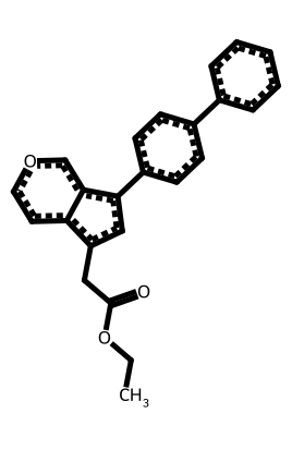 CCOC(=O)Cc1cc(-c2ccc(-c3ccccc3)cc2)c2coccc1-2